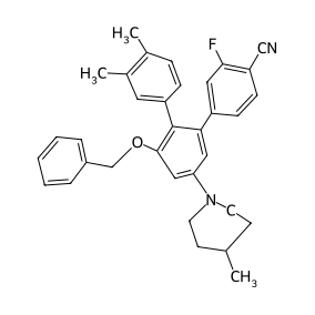 Cc1ccc(-c2c(OCc3ccccc3)cc(N3CCC(C)CC3)cc2-c2ccc(C#N)c(F)c2)cc1C